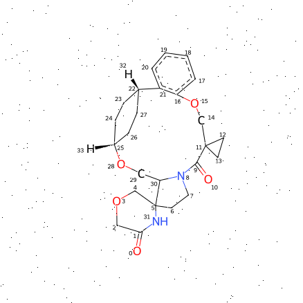 O=C1COCC2(CCN3C(=O)C4(CC4)COc4ccccc4[C@H]4CC[C@H](CC4)OCC32)N1